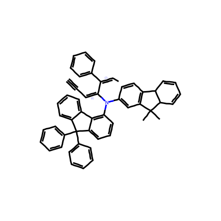 C#C/C=C(\C(=C/C)c1ccccc1)N(c1ccc2c(c1)C(C)(C)C1C=CC=CC21)c1cccc2c1-c1ccccc1C2(c1ccccc1)c1ccccc1